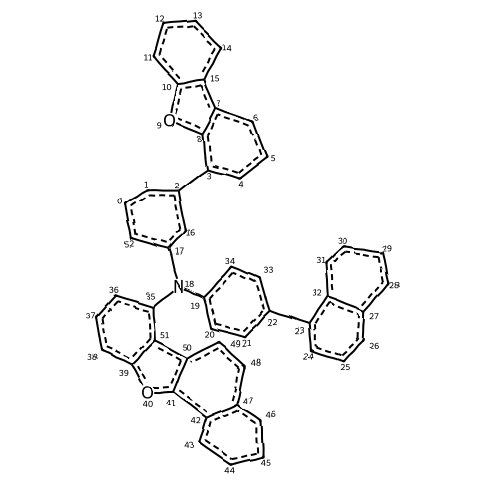 c1cc(-c2cccc3c2oc2ccccc23)cc(N(c2ccc(-c3cccc4ccccc34)cc2)c2cccc3oc4c5ccccc5ccc4c23)c1